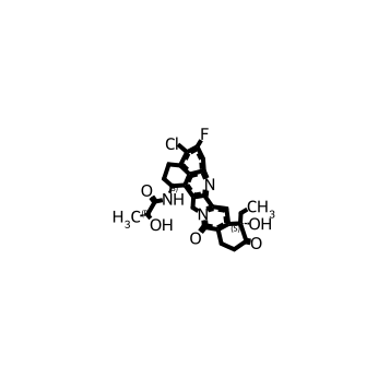 CC[C@@]1(O)C(=O)CCc2c1cc1n(c2=O)Cc2c-1nc1cc(F)c(Cl)c3c1c2[C@@H](NC(=O)[C@@H](C)O)CC3